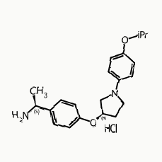 CC(C)Oc1ccc(N2CC[C@@H](Oc3ccc([C@H](C)N)cc3)C2)cc1.Cl